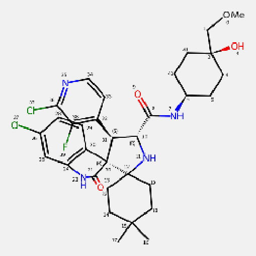 COC[C@]1(O)CC[C@@H](NC(=O)[C@@H]2NC3(CCC(C)(C)CC3)[C@@]3(C(=O)Nc4cc(Cl)ccc43)[C@H]2c2ccnc(Cl)c2F)CC1